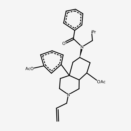 C=CCN1CCC2(c3cccc(OC(C)=O)c3)C[C@@H](N(CC(C)C)C(=O)c3ccccc3)CC(OC(C)=O)C2C1